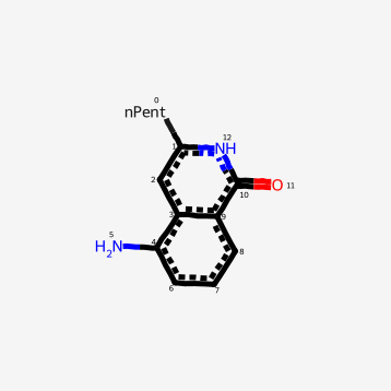 CCCCCc1cc2c(N)cccc2c(=O)[nH]1